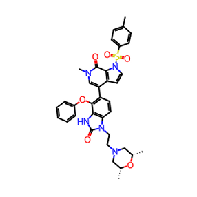 Cc1ccc(S(=O)(=O)n2ccc3c(-c4ccc5c([nH]c(=O)n5CCN5C[C@@H](C)O[C@@H](C)C5)c4Oc4ccccc4)cn(C)c(=O)c32)cc1